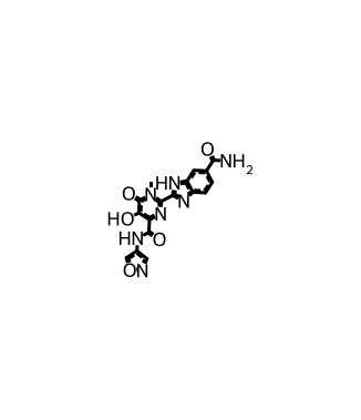 Cn1c(-c2nc3ccc(C(N)=O)cc3[nH]2)nc(C(=O)Nc2cnoc2)c(O)c1=O